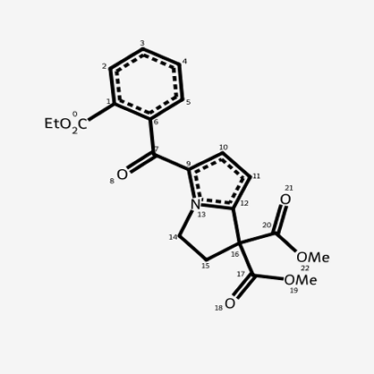 CCOC(=O)c1ccccc1C(=O)c1ccc2n1CCC2(C(=O)OC)C(=O)OC